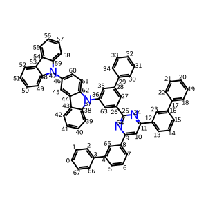 c1ccc(-c2cccc(-c3cc(-c4cccc(-c5ccccc5)c4)nc(-c4cc(-c5ccccc5)cc(-n5c6ccccc6c6cc(-n7c8ccccc8c8ccccc87)ccc65)c4)n3)c2)cc1